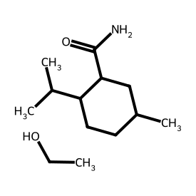 CC1CCC(C(C)C)C(C(N)=O)C1.CCO